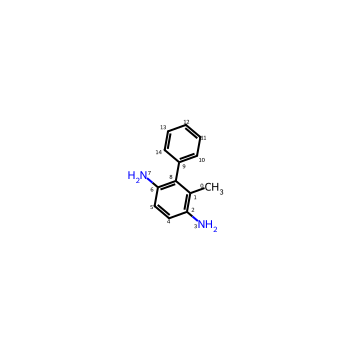 Cc1c(N)ccc(N)c1-c1ccccc1